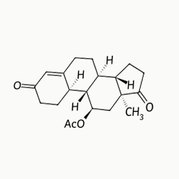 CC(=O)O[C@@H]1C[C@]2(C)C(=O)CC[C@H]2[C@@H]2CCC3=CC(=O)CC[C@@H]3[C@H]21